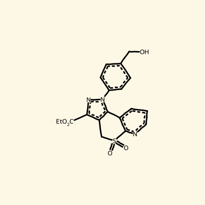 CCOC(=O)c1nn(-c2ccc(CO)cc2)c2c1CS(=O)(=O)c1ncccc1-2